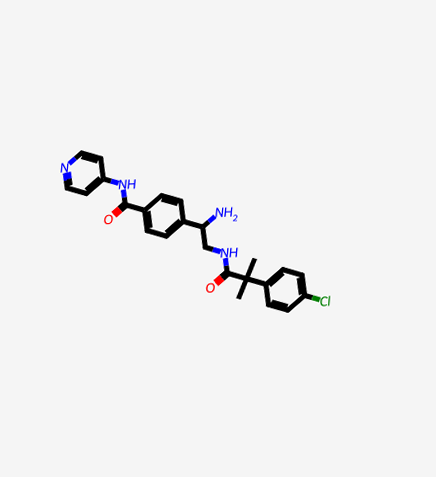 CC(C)(C(=O)NCC(N)c1ccc(C(=O)Nc2ccncc2)cc1)c1ccc(Cl)cc1